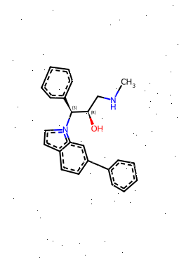 CNC[C@@H](O)[C@H](c1ccccc1)n1ccc2ccc(-c3ccccc3)cc21